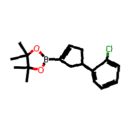 CC1(C)OB(C2=CCC(c3ccccc3Cl)C2)OC1(C)C